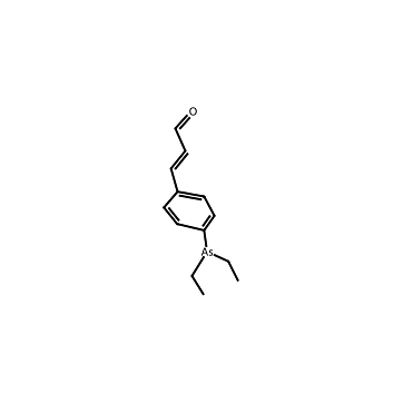 CC[As](CC)c1ccc(C=CC=O)cc1